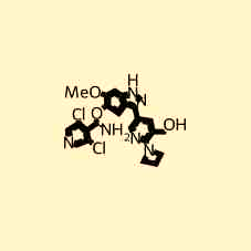 COc1cc2[nH]nc(-c3cnc(N4CCC4)c(CO)c3)c2cc1O[C@H](N)c1c(Cl)cncc1Cl